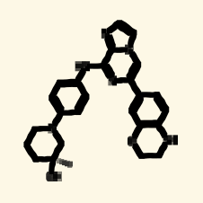 C[C@]1(O)CCCN(c2ccc(Nc3nc(-c4ccc5c(c4)OCCN5)cn4ccnc34)cc2)C1